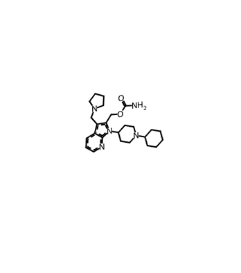 NC(=O)OCc1c(CN2CCCC2)c2cccnc2n1C1CCN(C2CCCCC2)CC1